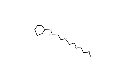 COCCOCCOCCNOC1CCCCC1